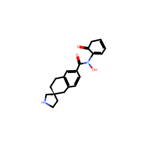 O=C1CC=CC=C1N(O)C(=O)c1ccc2c(c1)CC[C@]1(CCNC1)C2